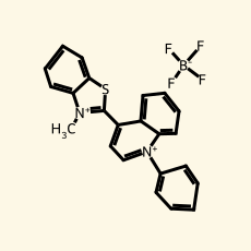 C[n+]1c(-c2cc[n+](-c3ccccc3)c3ccccc23)sc2ccccc21.F[B-](F)(F)F